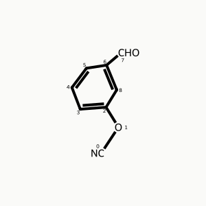 N#COc1cccc(C=O)c1